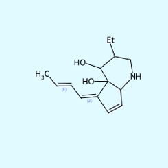 C/C=C/C=C1/C=CC2NCC(CC)C(O)C12O